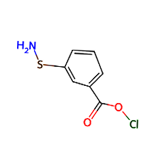 NSc1cccc(C(=O)OCl)c1